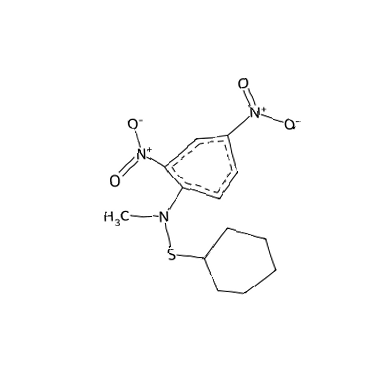 CN(SC1CCCCC1)c1ccc([N+](=O)[O-])cc1[N+](=O)[O-]